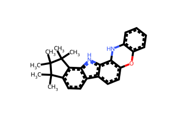 CC1(C)c2ccc3c([nH]c4c5c(ccc43)Oc3ccccc3N5)c2C(C)(C)C1(C)C